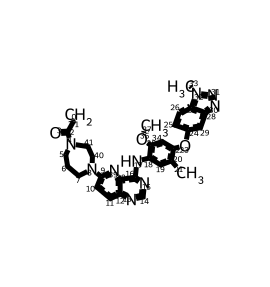 C=CC(=O)N1CCCN(c2ccc3ncnc(Nc4cc(C)c(Oc5ccc6c(c5)nnn6C)cc4OC)c3n2)CC1